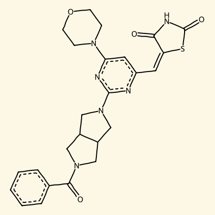 O=C1NC(=O)/C(=C\c2cc(N3CCOCC3)nc(N3CC4CN(C(=O)c5ccccc5)CC4C3)n2)S1